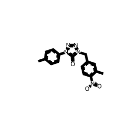 Cc1ccc(-n2nnn(Cc3ccc([N+](=O)[O-])c(C)c3)c2=O)cc1